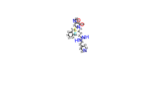 N=C(CCCCn1c(SCc2ccccc2F)cc2ncoc2c1=O)NCCc1ccncc1